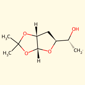 [CH2][C@@H](O)[C@@H]1C[C@H]2OC(C)(C)O[C@H]2O1